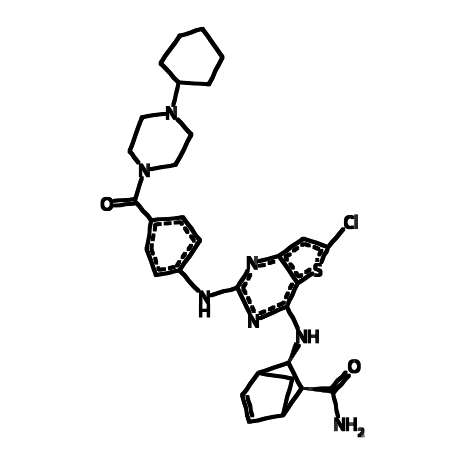 NC(=O)[C@H]1C2C=CC(C2)[C@H]1Nc1nc(Nc2ccc(C(=O)N3CCN(C4CCCCC4)CC3)cc2)nc2cc(Cl)sc12